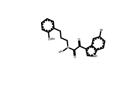 CCCN(CCCc1ccccc1OC)C(=O)C(=O)c1c[nH]c2ccc(Br)cc12